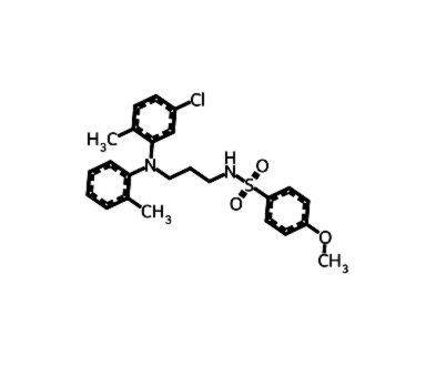 COc1ccc(S(=O)(=O)NCCCN(c2ccccc2C)c2cc(Cl)ccc2C)cc1